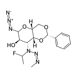 C/N=N\N(C(C)F)[C@H]1[C@H]2O[C@@H](c3ccccc3)OC[C@H]2OC(N=[N+]=[N-])[C@@H]1O